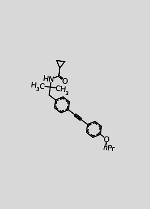 CCCOc1ccc(C#Cc2ccc(CC(C)(C)NC(=O)C3CC3)cc2)cc1